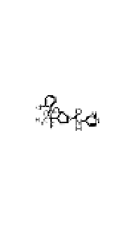 CC(F)(C1CCN(C(=O)Nc2ccnnc2)CC1)S(=O)(=O)c1ccccc1Cl